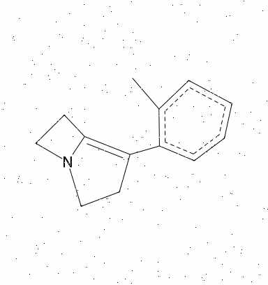 Cc1ccccc1C1=C2CCN2CC1